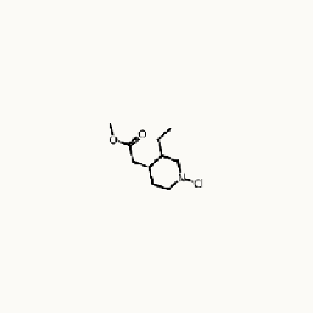 CC[C@H]1CN(Cl)CC[C@H]1CC(=O)OC